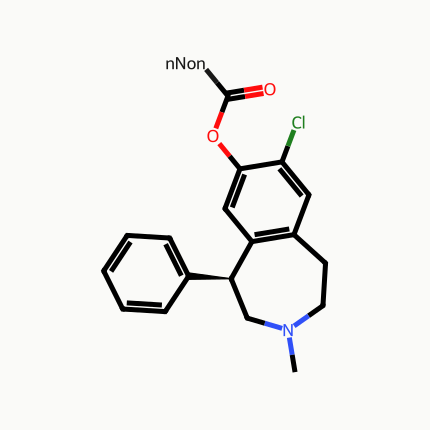 CCCCCCCCCC(=O)Oc1cc2c(cc1Cl)CCN(C)C[C@H]2c1ccccc1